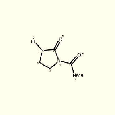 CCN1CCN(C(=O)NC)C1=O